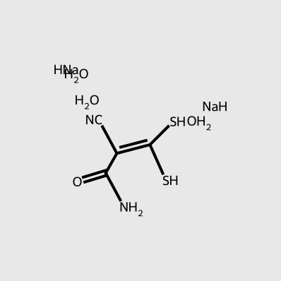 N#CC(C(N)=O)=C(S)S.O.O.O.[NaH].[NaH]